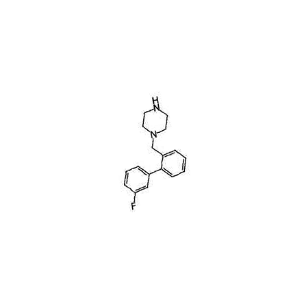 Fc1cccc(-c2ccccc2CN2CCNCC2)c1